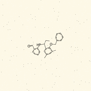 CCC(Pc1ccccc1C=O)c1cc(C)cc(C)c1OCc1ccccc1